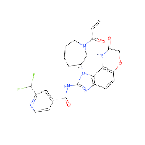 C=CC(=O)N1CCCC[C@@H](n2c(NC(=O)c3ccnc(C(F)F)c3)nc3ccc4c(c32)N(C)C(=O)CO4)C1